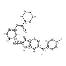 Cc1ccc(N(C)c2ccc3nc(Nc4cc(CC(=O)N5CCCCC5)ccn4)sc3n2)cc1